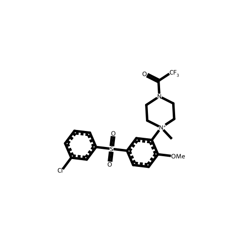 COc1ccc(S(=O)(=O)c2cccc(Cl)c2)cc1[N+]1(C)CCN(C(=O)C(F)(F)F)CC1